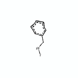 FNCc1ccccc1